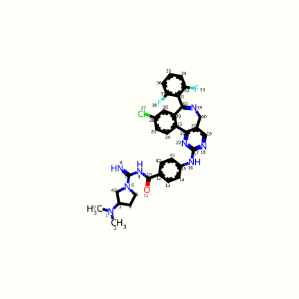 CN(C)C1CCN(C(=N)NC(=O)c2ccc(Nc3ncc4c(n3)-c3ccc(Cl)cc3C(c3c(F)cccc3F)=NC4)cc2)C1